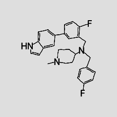 CN1CCC(N(Cc2ccc(F)cc2)Cc2cc(-c3ccc4[nH]ccc4c3)ccc2F)CC1